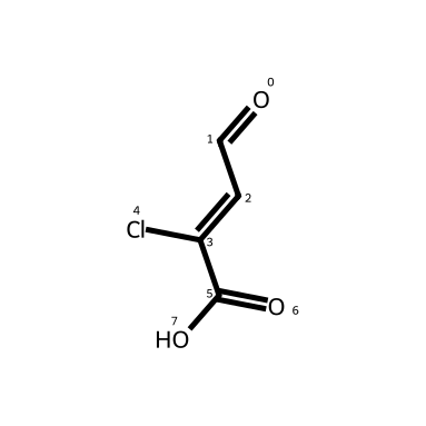 O=[C]C=C(Cl)C(=O)O